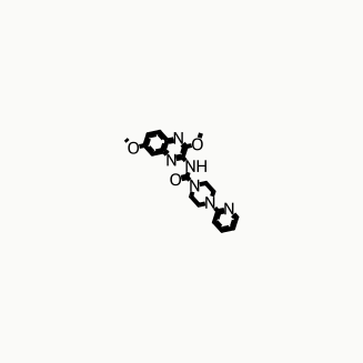 COc1ccc2nc(OC)c(NC(=O)N3CCN(c4ccccn4)CC3)nc2c1